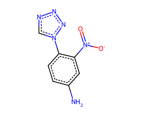 Nc1ccc(-n2cnnn2)c([N+](=O)[O-])c1